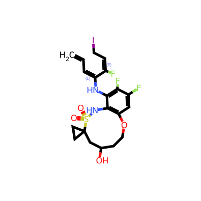 C=C/C=C(Nc1c(F)c(F)cc2c1NS(=O)(=O)C1(CC1)CC(O)CCO2)\C(F)=C/CI